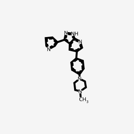 CN1CCN(c2ccc(-c3cnc4[nH]nc(-c5cccnc5)c4c3)cc2)CC1